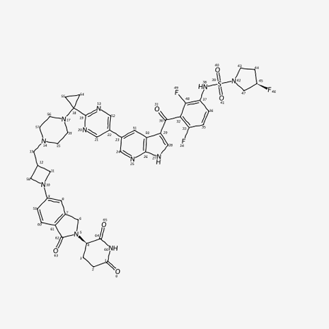 O=C1CC[C@@H](N2Cc3cc(N4CC(CN5CCN(C6(c7ncc(-c8cnc9[nH]cc(C(=O)c%10c(F)ccc(NS(=O)(=O)N%11CC[C@@H](F)C%11)c%10F)c9c8)cn7)CC6)CC5)C4)ccc3C2=O)C(=O)N1